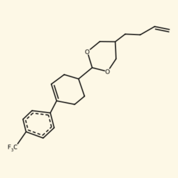 C=CCCC1COC(C2CC=C(c3ccc(C(F)(F)F)cc3)CC2)OC1